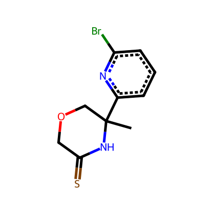 CC1(c2cccc(Br)n2)COCC(=S)N1